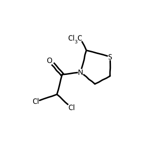 O=C(C(Cl)Cl)N1CCSC1C(Cl)(Cl)Cl